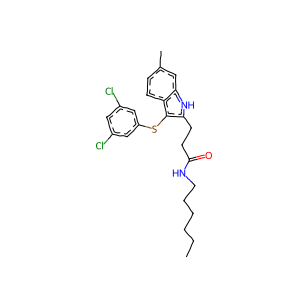 CCCCCCNC(=O)CCc1[nH]c2cc(C)ccc2c1Sc1cc(Cl)cc(Cl)c1